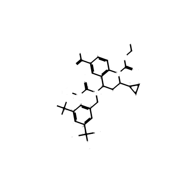 CCOC(=O)N1c2ccc(C(C)=O)cc2C(N(Cc2cc(C(F)(F)F)cc(C(F)(F)F)c2)C(=O)OC)CC1C1CC1